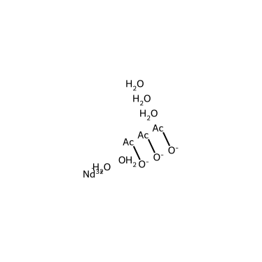 CC(=O)[O-].CC(=O)[O-].CC(=O)[O-].O.O.O.O.O.[Nd+3]